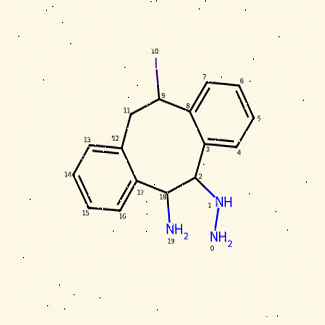 NNC1c2ccccc2C(I)Cc2ccccc2C1N